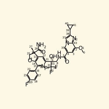 COc1cc(C(=O)NC[C@](O)(c2cc3c(c(-c4ccc(F)cc4)n2)OC[C@]3(C)C(N)=O)C(F)(F)F)cn2cc(C3CC3)nc12